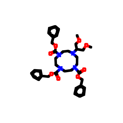 COCC(COC)N1CCN(C(=O)OCc2ccccc2)CCN(C(=O)OCc2ccccc2)CCN(C(=O)OCc2ccccc2)CC1